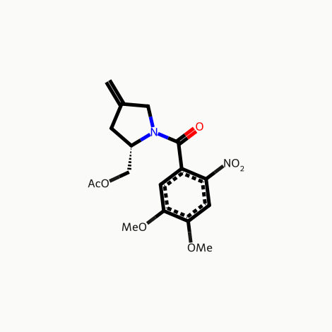 C=C1C[C@@H](COC(C)=O)N(C(=O)c2cc(OC)c(OC)cc2[N+](=O)[O-])C1